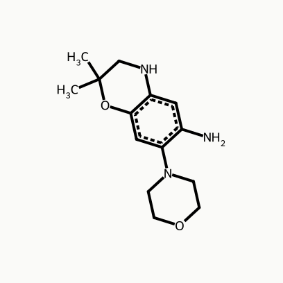 CC1(C)CNc2cc(N)c(N3CCOCC3)cc2O1